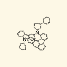 c1ccc(-c2cccc(N(c3ccc4c(c3)c3ccccc3n4-c3ccccc3)c3cccc4c3-c3c5ccccc5cc5cccc-4c35)c2)cc1